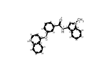 Cn1cc(NC(=O)c2cccc(Oc3ccnc4ccccc34)c2)c2ccccc21